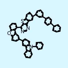 c1ccc(-c2ccc(-c3cccc(-c4ccc5sc6c(-c7cccc8oc9ccc(-c%10ccc%11c(c%10)c%10ccccc%10n%11-c%10ccccc%10)cc9c78)ncnc6c5c4)c3)cc2)cc1